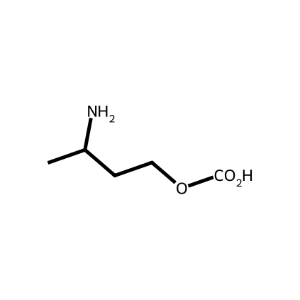 CC(N)CCOC(=O)O